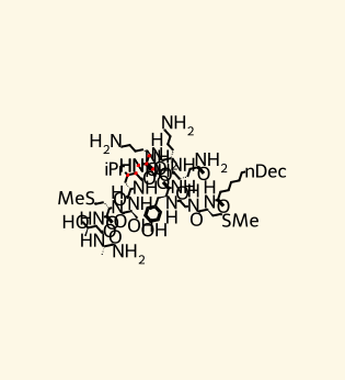 CCCCCCCCCCCCCCCC(=O)N[C@@H](CCSC)C(=O)NCC(=O)N[C@@H](Cc1ccc(O)cc1)C(=O)N[C@@H](CCC(N)=O)C(=O)N[C@@H](CCCCN)C(=O)N[C@@H](CCCCN)C(=O)N[C@@H](CC(C)C)C(=O)N[C@@H](CCCNC(=N)N)C(=O)N[C@@H](CO)C(=O)N[C@@H](CCSC)C(=O)N[C@H](C(=O)N[C@@H](C)C(N)=O)[C@@H](C)O